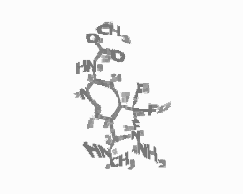 CN/C(=N\N)c1cnc(NC(=O)OC)cc1C(F)(F)F